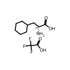 N[C@H](CC1CCCCC1)C(=O)O.O=C(O)C(F)(F)F